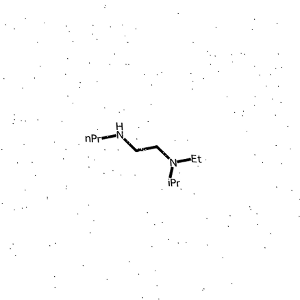 CCCNCCN(CC)C(C)C